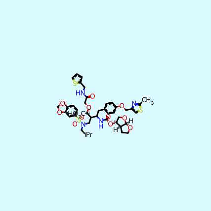 Cc1nc(COc2ccc(CC(NC(=O)O[C@H]3CO[C@H]4OCC[C@H]43)C(CN(CC(C)C)S(=O)(=O)c3ccc4c(c3)OCO4)[C@H](OCC(=O)NCc3cccs3)C(=O)O)cc2)cs1